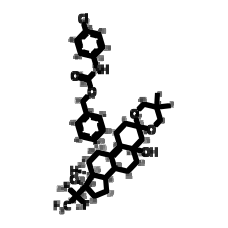 CC1(C)COC2(CCC3=C4C(CCC3(O)C2)C2CC[C@@](O)(C(F)(F)C(F)(F)F)[C@@]2(C)C[C@@H]4c2ccc(COC(=O)Nc3ccc(Cl)cc3)cc2)OC1